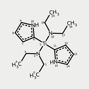 CC[N](CC)[Ti]([c]1ccc[nH]1)([c]1ccc[nH]1)[N](CC)CC